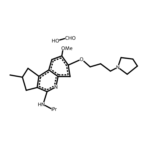 COc1cc2c3c(c(NC(C)C)nc2cc1OCCCN1CCCC1)CC(C)C3.O=CO